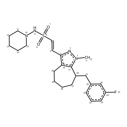 Cn1nc(C=CS(=O)(=O)NN2CCCCC2)c2c1C(Cc1cccc(F)c1)CCCC2